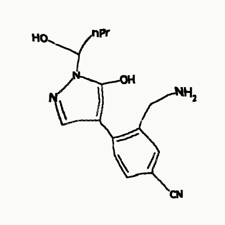 [CH2]CCC(O)n1ncc(-c2ccc(C#N)cc2CN)c1O